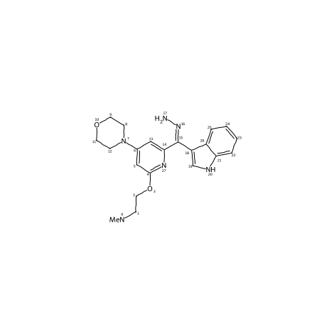 CNCCOc1cc(N2CCOCC2)cc(C(=NN)c2c[nH]c3ccccc23)n1